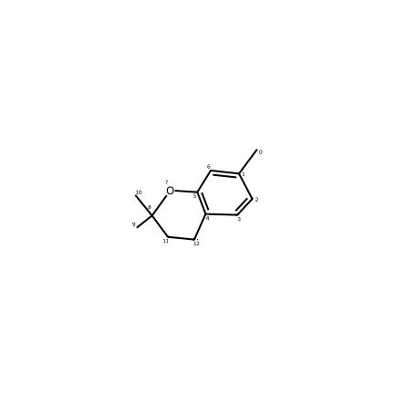 Cc1ccc2c(c1)OC(C)(C)C[CH]2